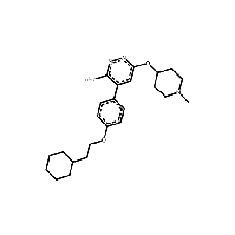 CCCCc1nnc(OC2CCN(C)CC2)cc1-c1ccc(OCCC2CCCCC2)cc1